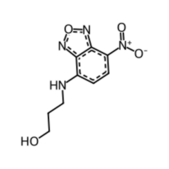 O=[N+]([O-])c1ccc(NCCCO)c2nonc12